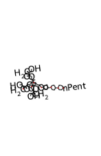 C=C(CO)C(=O)COCS(CCCOc1ccc(C2CCC(C3CCC(CCCCC)CC3)CC2)cc1)(CCOC(=O)C(=C)CO)CCOC(=O)C(=C)CO